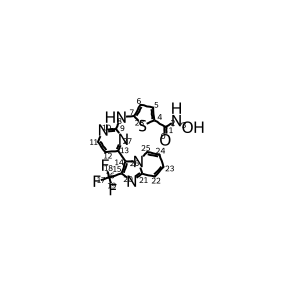 O=C(NO)c1ccc(Nc2nccc(-c3c(C(F)(F)F)nc4ccccn34)n2)s1